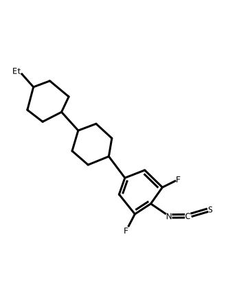 CCC1CCC(C2CCC(c3cc(F)c(N=C=S)c(F)c3)CC2)CC1